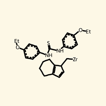 CCOc1ccc(NC(=S)Nc2ccc(OCC)cc2)cc1.[Zr][CH2]C1C=CC2=C1CCCC2